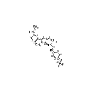 C/C=C1/C=C(c2cc(NCP)ccc2C)S/C1=N/C=C\Nc1ccc(OC(F)(F)F)cc1